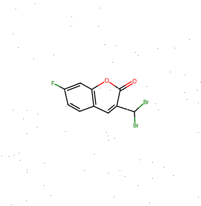 O=c1oc2cc(F)ccc2cc1C(Br)Br